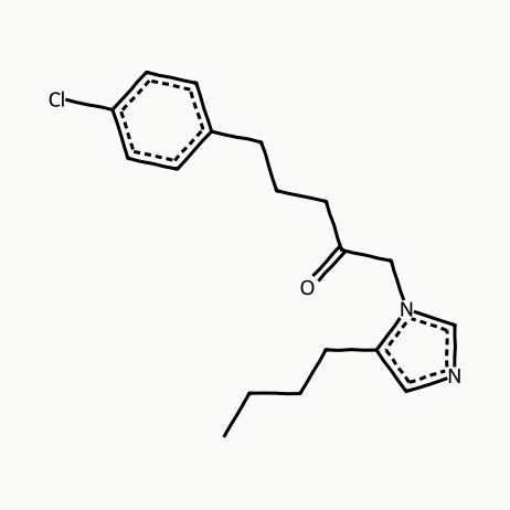 CCCCc1cncn1CC(=O)CCCc1ccc(Cl)cc1